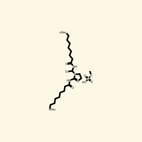 CCCCCCCCCCCCCCCCCC(=O)NC1=NCCN1C(CC)NC(=O)CCCCCCCCCCCCCCCCC.COS(=O)(=O)O